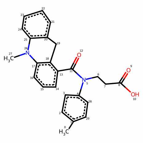 Cc1ccc(N(CCC(=O)O)C(=O)c2cccc3c2Cc2ccccc2N3C)cc1